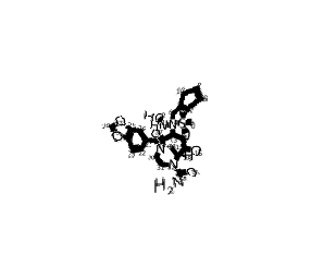 CS(=O)(=O)[N+](CC1CCCC1)(NO)C1CC(=O)[C@H]2C[N+](Cc3ccc4c(c3)OCO4)(CCN2C(N)=O)C1=O